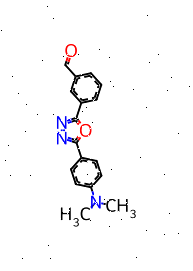 CN(C)c1ccc(-c2nnc(-c3cccc(C=O)c3)o2)cc1